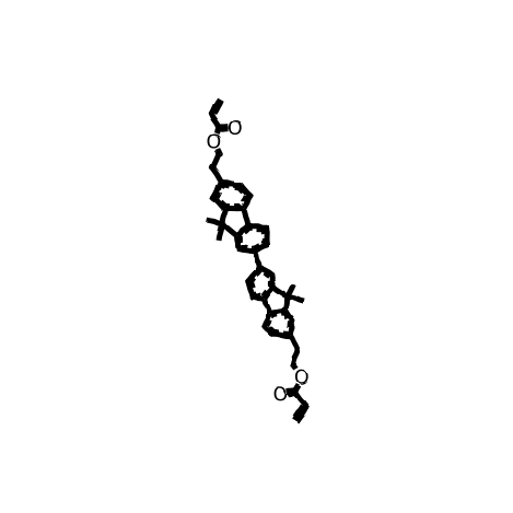 C=CC(=O)OCCc1ccc2c(c1)C(C)(C)c1cc(-c3ccc4c(c3)C(C)(C)c3cc(CCOC(=O)C=C)ccc3-4)ccc1-2